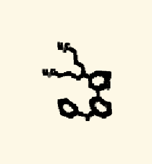 CCCCN(CCCC)c1ccnc(-c2cc(Sc3ccccc3)ccn2)c1